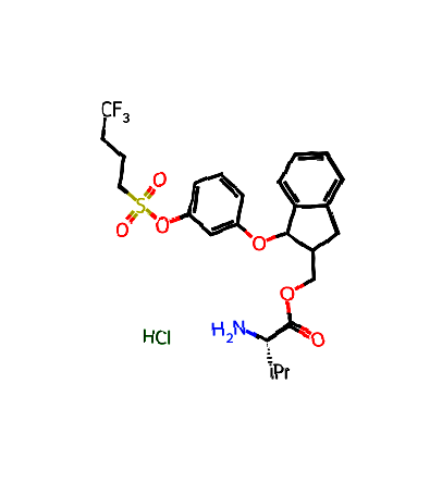 CC(C)[C@H](N)C(=O)OCC1Cc2ccccc2C1Oc1cccc(OS(=O)(=O)CCCC(F)(F)F)c1.Cl